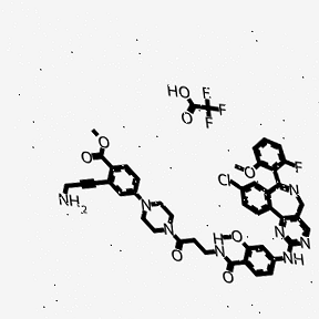 COC(=O)c1ccc(N2CCN(C(=O)CCNC(=O)c3ccc(Nc4ncc5c(n4)-c4ccc(Cl)cc4C(c4c(F)cccc4OC)=NC5)cc3OC)CC2)cc1C#CCN.O=C(O)C(F)(F)F